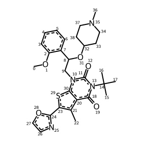 COc1ccccc1C(Cn1c(=O)n(C(C)(C)C)c(=O)c2c(C)c(-c3ncco3)sc21)OC1CCN(C)CC1